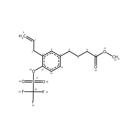 C=CCc1cc(CCCC(=O)OC)ccc1OS(=O)(=O)C(F)(F)F